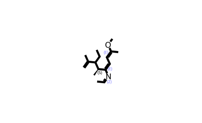 C=C(C)C(CC)[C@H](C)C(=C\C=C(/C)OC)/N=C\C